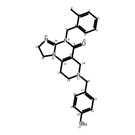 Cc1ccccc1CN1C(=O)C2=C(CCN(Cc3ccc(C(C)(C)C)cc3)C2)N2CCN=C12